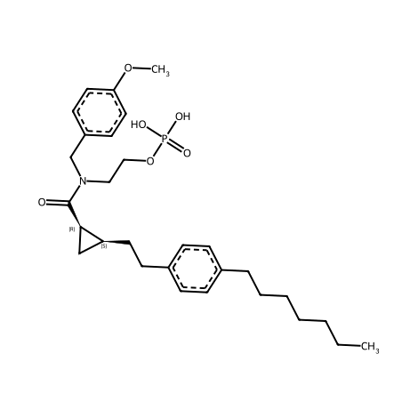 CCCCCCCc1ccc(CC[C@H]2C[C@H]2C(=O)N(CCOP(=O)(O)O)Cc2ccc(OC)cc2)cc1